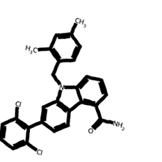 Cc1ccc(Cn2c3cc(-c4c(Cl)cccc4Cl)c[c]c3c3c(C(N)=O)cccc32)c(C)c1